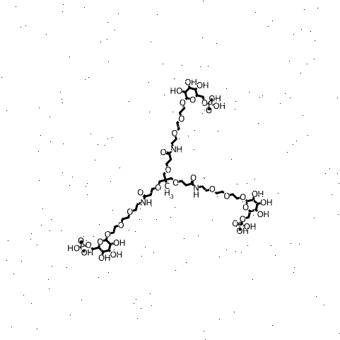 CC(COCCC(=O)NCCOCCOCCOC1OC(COP(=O)(O)O)C(O)C(O)C1O)(COCCC(=O)NCCOCCOCCOC1OC(COP(=O)(O)O)C(O)C(O)C1O)COCCC(=O)NCCOCCOCCOC1OC(COP(=O)(O)O)C(O)C(O)C1O